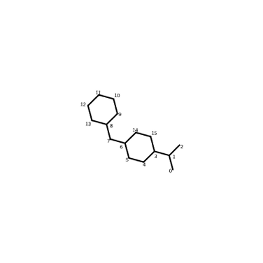 CC(C)C1CCC(CC2CCCCC2)CC1